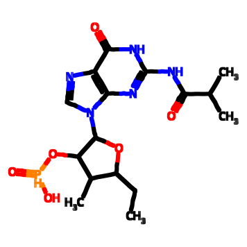 CCC1OC(n2cnc3c(=O)[nH]c(NC(=O)C(C)C)nc32)C(O[PH](=O)O)C1C